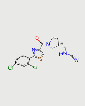 N#CNC[C@H]1CCN(C(=O)c2csc(-c3ccc(Cl)cc3Cl)n2)C1